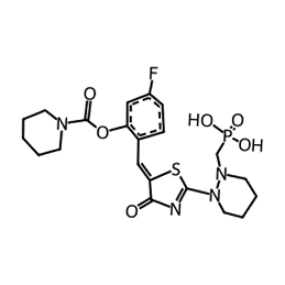 O=C1N=C(N2CCCCN2CP(=O)(O)O)S/C1=C\c1ccc(F)cc1OC(=O)N1CCCCC1